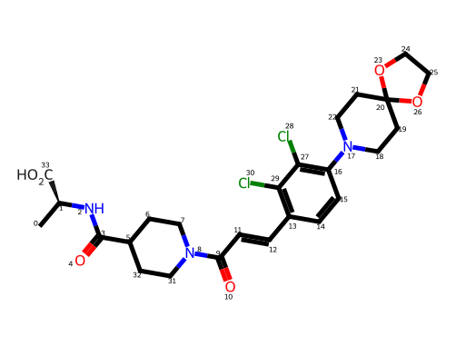 C[C@H](NC(=O)C1CCN(C(=O)/C=C/c2ccc(N3CCC4(CC3)OCCO4)c(Cl)c2Cl)CC1)C(=O)O